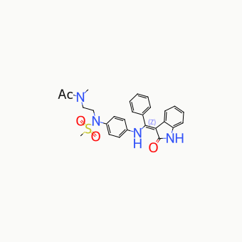 CC(=O)N(C)CCN(c1ccc(N/C(=C2\C(=O)Nc3ccccc32)c2ccccc2)cc1)S(C)(=O)=O